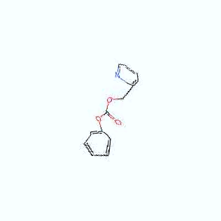 O=C(OCc1ccccn1)Oc1ccccc1